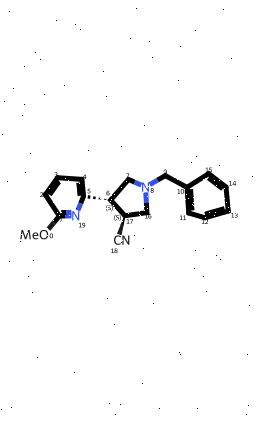 COc1cccc([C@@H]2CN(Cc3ccccc3)C[C@H]2C#N)n1